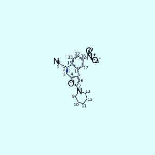 N#C/C(=C/c1ccc(N2CCCCC2)o1)c1ccc([N+](=O)[O-])cc1